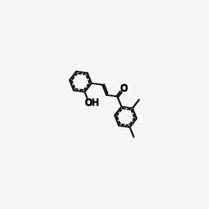 Cc1ccc(C(=O)C=Cc2ccccc2O)c(C)c1